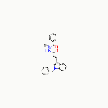 CC(C)N(NC(=O)/C=C/c1cn(Cc2ccccc2)c2ccccc12)C(=O)c1ccccc1